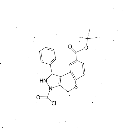 CC(C)(C)OC(=O)c1ccc2c(c1)C1=C(CS2)N(C(=O)Cl)NC1c1ccccc1